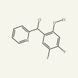 CCOc1cc(F)c(F)cc1C(Cl)c1ccccn1